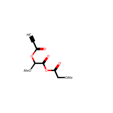 C#CC(=O)OC(OC)C(=O)OC(=O)COC